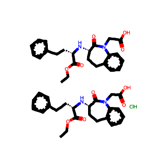 CCOC(=O)[C@H](CCc1ccccc1)N[C@H]1CCc2ccccc2N(CC(=O)O)C1=O.CCOC(=O)[C@H](CCc1ccccc1)N[C@H]1CCc2ccccc2N(CC(=O)O)C1=O.Cl